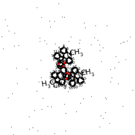 CN1c2ccccc2C(c2ccccc2)(c2ccccc2)c2c(-c3cccc4c(-c5cccc6c5-c5ccccc5C6(C)C)c5cccc(-c6cccc7c6C(c6ccccc6)(c6ccccc6)c6ccccc6N7C)c5cc34)cccc21